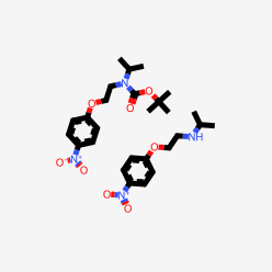 CC(C)N(CCOc1ccc([N+](=O)[O-])cc1)C(=O)OC(C)(C)C.CC(C)NCCOc1ccc([N+](=O)[O-])cc1